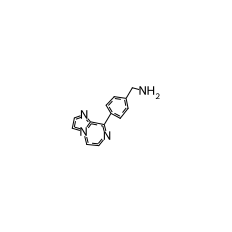 NCc1ccc(-c2nccn3ccnc23)cc1